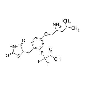 CC(C)CC(N)COc1ccc(CC2SC(=O)NC2=O)cc1.O=C(O)C(F)(F)F